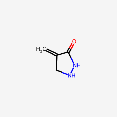 C=C1CNNC1=O